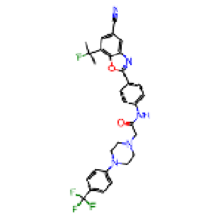 CC(C)(F)c1cc(C#N)cc2nc(-c3ccc(NC(=O)CN4CCN(c5ccc(C(F)(F)F)cc5)CC4)cc3)oc12